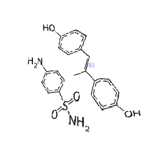 C/C(=C\c1ccc(O)cc1)c1ccc(O)cc1.Nc1ccc(S(N)(=O)=O)cc1